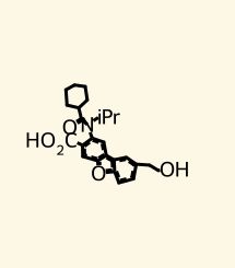 CC(C)N(C(=O)C1CCCCC1)c1cc2c(cc1C(=O)O)oc1ccc(CCO)cc12